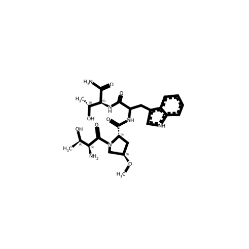 CO[C@@H]1C[C@@H](C(=O)NC(Cc2c[nH]c3ccccc23)C(=O)N[C@H](C(N)=O)[C@@H](C)O)N(C(=O)[C@@H](N)[C@@H](C)O)C1